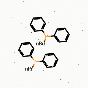 CCCCP(c1ccccc1)c1ccccc1.CCCP(c1ccccc1)c1ccccc1